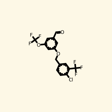 O=Cc1cc(OCc2ccc(Cl)c(C(F)(F)F)c2)cc(OC(F)(F)F)c1